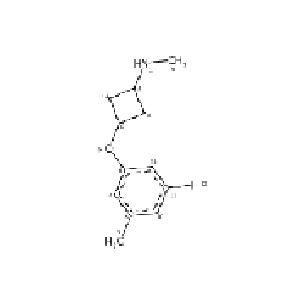 CNC1CC(Oc2cc(C)cc(F)c2)C1